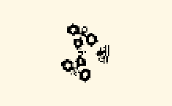 ClCCl.O=P(C1=C[CH]([Fe][CH]2C=CC(P(=O)(c3ccccc3)c3ccccc3)=C2)C=C1)(c1ccccc1)c1ccccc1.[Cl][Pd][Cl]